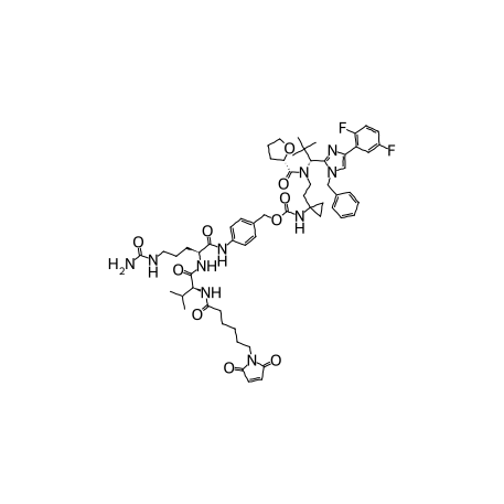 CC(C)[C@H](NC(=O)CCCCCN1C(=O)C=CC1=O)C(=O)N[C@@H](CCCNC(N)=O)C(=O)Nc1ccc(COC(=O)NC2(CCN(C(=O)[C@@H]3CCCO3)[C@@H](c3nc(-c4cc(F)ccc4F)cn3Cc3ccccc3)C(C)(C)C)CC2)cc1